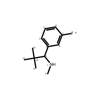 CNC(c1cccc(F)c1)C(C)(C)C